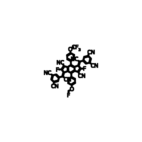 N#CC1=C(F)/C(=C(/C#N)c2cc(C#N)cc(C#N)c2)c2c1c(-c1ccc(OC(F)(F)F)cc1)c1c(c2-c2ccc(OCF)cc2)C(C#N)=C(F)/C1=C(/C#N)c1cc(C#N)cc(C#N)c1